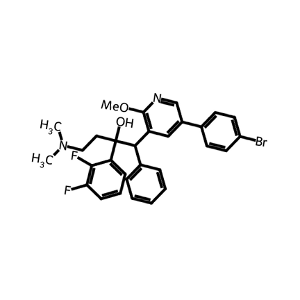 COc1ncc(-c2ccc(Br)cc2)cc1C(c1ccccc1)C(O)(CCN(C)C)c1cccc(F)c1F